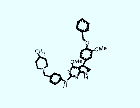 COc1cc(-c2c[nH]c3nc(Nc4ccc(CN5CCC(C)CC5)cc4)nc(OC)c23)ccc1OCc1ccccc1